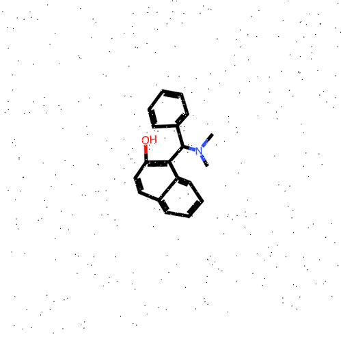 CN(C)C(c1ccccc1)c1c(O)ccc2c[c]ccc12